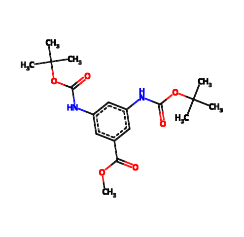 COC(=O)c1cc(NC(=O)OC(C)(C)C)cc(NC(=O)OC(C)(C)C)c1